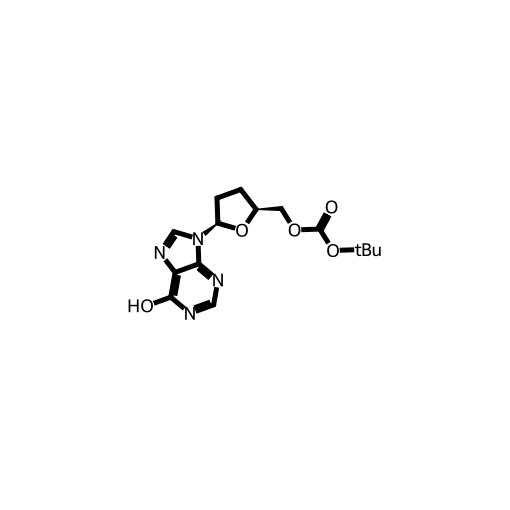 CC(C)(C)OC(=O)OC[C@@H]1CC[C@H](n2cnc3c(O)ncnc32)O1